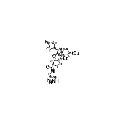 CC[C@H](c1ccc(C(=O)NCc2nn[nH]n2)cc1)N1C(=O)C(c2ccc(F)cc2)=NC12CCC(C(C)(C)C)CC2